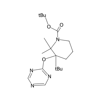 CC(C)(C)OC(=O)N1CCCC(Oc2ncncn2)(C(C)(C)C)C1(C)C